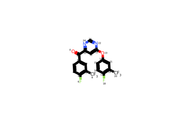 O=C(c1ccc(F)c(C(F)(F)F)c1)c1cc(Oc2ccc(F)c(C(F)(F)F)c2)ncn1